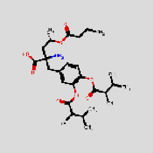 CCCC(=O)O[C@@H](C)CC(N)(Cc1ccc(OC(=O)C(C)C(C)C)c(OC(=O)C(C)C(C)C)c1)C(=O)O